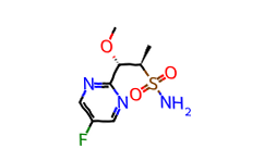 CO[C@@H](c1ncc(F)cn1)[C@@H](C)S(N)(=O)=O